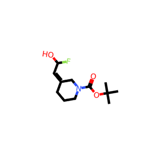 CC(C)(C)OC(=O)N1CCCC(=CC(O)F)C1